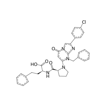 O=C(O)[C@H](CCc1ccccc1)NC(=O)[C@@H]1CCCN1c1cc(=O)n2cc(-c3ccc(Cl)cc3)nc2n1Cc1ccccc1